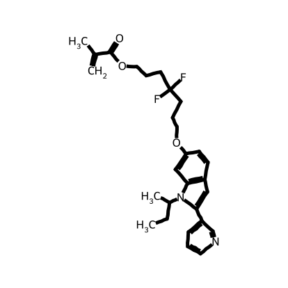 C=C(C)C(=O)OCCCC(F)(F)CCCOc1ccc2cc(-c3cccnc3)n(C(C)CC)c2c1